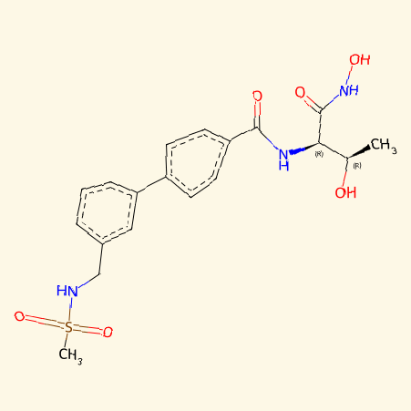 C[C@@H](O)[C@@H](NC(=O)c1ccc(-c2cccc(CNS(C)(=O)=O)c2)cc1)C(=O)NO